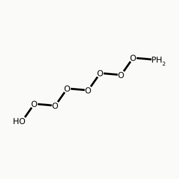 OOOOOOOOP